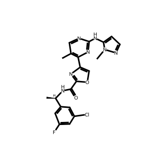 Cc1cnc(Nc2ccnn2C)nc1-c1coc(C(=O)N[C@H](C)c2cc(F)cc(Cl)c2)n1